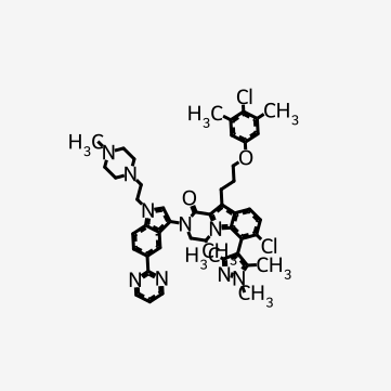 Cc1cc(OCCCc2c3n(c4c(-c5c(C)nn(C)c5C)c(Cl)ccc24)[C@H](C)CN(c2cn(CCN4CCN(C)CC4)c4ccc(-c5ncccn5)cc24)C3=O)cc(C)c1Cl